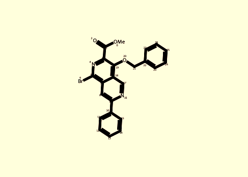 COC(=O)c1nc(Br)c2cc(-c3ccccc3)ncc2c1OCc1ccccc1